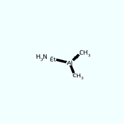 C[CH2][Al]([CH3])[CH3].N